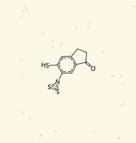 O=C1CCc2cc(S)c(-n3ss3)cc21